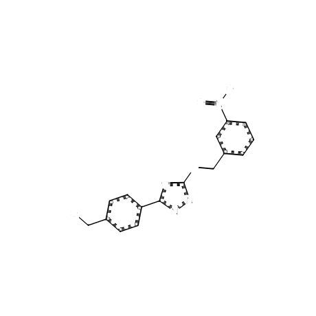 O=[N+]([O-])c1cccc(CSc2nnc(-c3ccc(CO)cc3)o2)c1